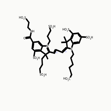 CC1(CCCS(=O)(=O)O)C(/C=C/C=C2/N(CCCCCC(=O)O)c3cc(S(=O)(=O)O)cc(S(=O)(=O)O)c3C2(C)C)=[N+](CCCS(=O)(=O)O)c2cc(C(=O)NCCS(=O)(=O)O)cc(S(=O)(=O)O)c21